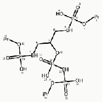 CC(C)OP(=O)(O)BCC(CBP(=O)(O)OC(C)C)OP(=O)(O)BP(=O)(O)OC(C)C